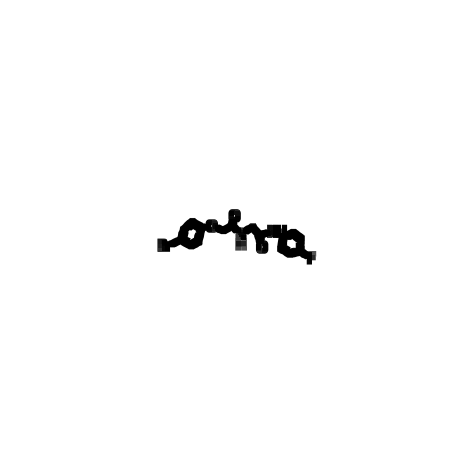 O=C(COc1ccc(Br)cc1)NCC(=O)Nc1ccc(F)cc1